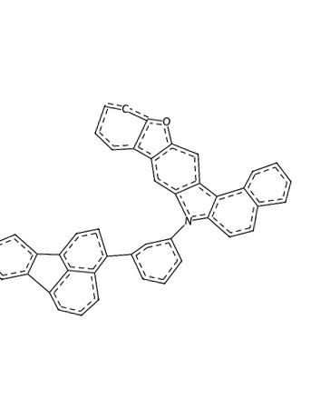 c1cc(-c2ccc3c4c(cccc24)-c2ccccc2-3)cc(-n2c3cc4c(cc3c3c5ccccc5ccc32)oc2ccccc24)c1